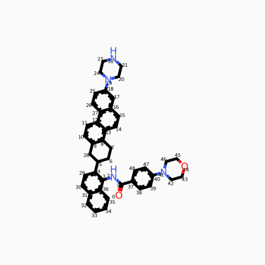 O=C(Nc1c(C2CCc3c(ccc4c3ccc3cc(N5CCNCC5)ccc34)C2)ccc2ccccc12)c1ccc(N2CCOCC2)cc1